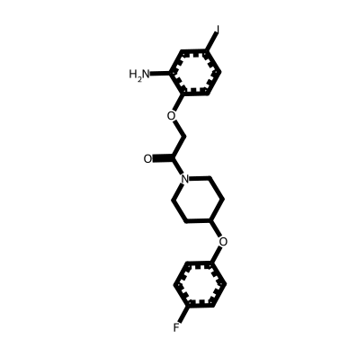 Nc1cc(I)ccc1OCC(=O)N1CCC(Oc2ccc(F)cc2)CC1